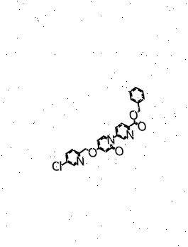 O=C(OCc1ccccc1)c1ccc(-n2ccc(OCc3ccc(Cl)cn3)cc2=O)cn1